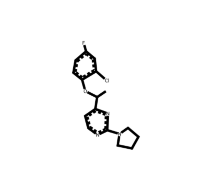 CC(Oc1ccc(F)cc1Cl)c1ccnc(N2CCCC2)n1